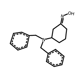 ON=C1CCCC(N(Cc2ccccc2)Cc2ccccc2)C1